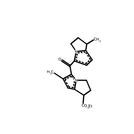 CCOC(=O)C1CCn2c1cc(C)c2C(=O)c1ccc2n1CCC2C